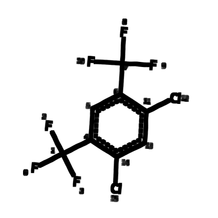 FC(F)(F)c1cc(C(F)(F)F)c(Cl)cc1Cl